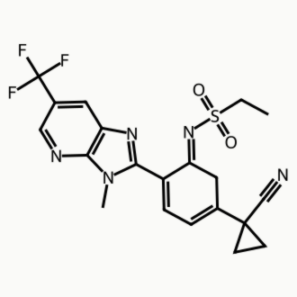 CCS(=O)(=O)N=C1CC(C2(C#N)CC2)=CC=C1c1nc2cc(C(F)(F)F)cnc2n1C